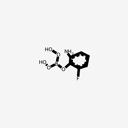 Nc1cccc(F)c1OB(OO)OO